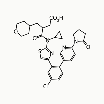 O=C(O)CC(CC1CCOCC1)C(=O)N(c1nc(-c2cc(Cl)ccc2-c2ccc(N3CCCC3=O)nc2)cs1)C1CC1